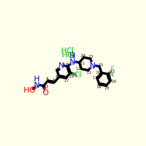 Cl.Cl.O=C(C=Cc1cnc(NC2CCN(Cc3ccccc3F)CC2)c(Cl)c1)NO